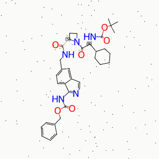 CC(C)(C)OC(=O)N[C@@H](C(=O)N1CC[C@H]1C(=O)NCc1ccc2c(NC(=O)OCc3ccccc3)nccc2c1)C1CCCCC1